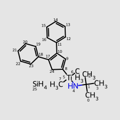 CC(C)(C)[NH][Ti]([CH3])([CH3])[C]1=CC(c2ccccc2)=C(c2ccccc2)C1.[SiH4]